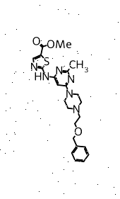 COC(=O)c1cnc(Nc2cc(N3CCN(CCOCc4ccccc4)CC3)nc(C)n2)s1